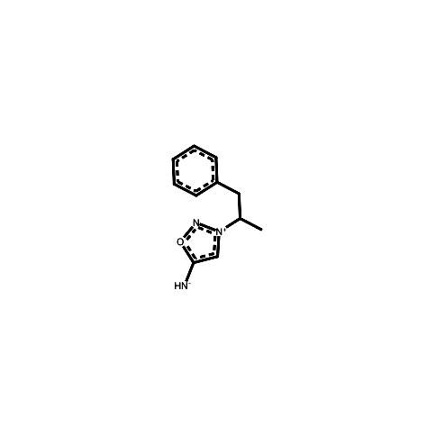 CC(Cc1ccccc1)[n+]1cc([NH-])on1